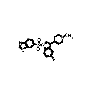 CN1CC=C(c2cn(S(=O)(=O)c3ccc4ncsc4c3)c3ccc(F)cc23)CC1